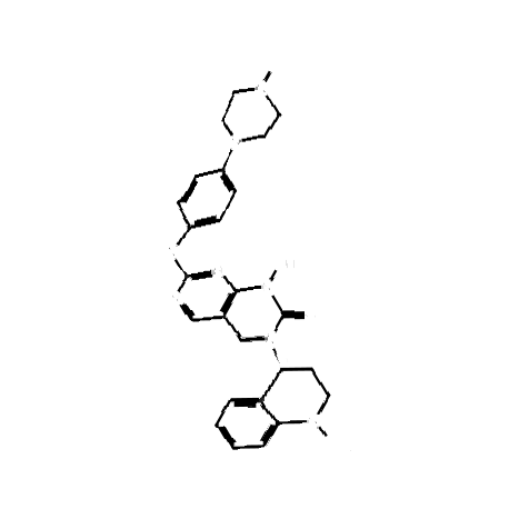 CN1CCN(c2ccc(Nc3ncc4c(n3)N(C)C(=O)N([C@H]3CCN(C(=O)O)c5ccccc53)C4)cc2)CC1